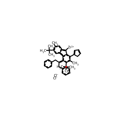 Cc1cc2c(cc1C(C)(C)C)=c1c(c(C3=CC=CC3)c(C)c(C(C)(C)C)c1=C(Cc1ccccc1)Cc1ccccc1)[C]=2[Zr+2].[Cl-].[Cl-]